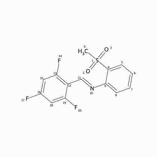 CS(=O)(=O)c1ccccc1N=Cc1c(F)cc(F)cc1F